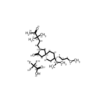 COCCC[C@]1(N(C)C)CC[C@]2(CC1)CC(=O)N(CCC(C)(C)C(N)=O)C2.O=C(O)C(F)(F)F